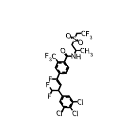 C[C@H](CS(=O)(=O)CC(F)(F)F)NC(=O)c1ccc(/C(F)=C/C(c2cc(Cl)c(Cl)c(Cl)c2)C(F)F)cc1C(F)(F)F